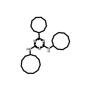 C1CCCCCC(Nc2nc(NC3CCCCCCCCC3)nc(C3CCCCCCCC3)n2)CCCC1